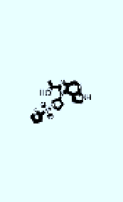 CC(O)c1nc2cnc3[nH]ccc3c2n1C1CCN(S(=O)(=O)c2cccs2)C1